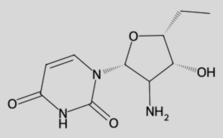 CC[C@H]1O[C@@H](n2ccc(=O)[nH]c2=O)C(N)[C@H]1O